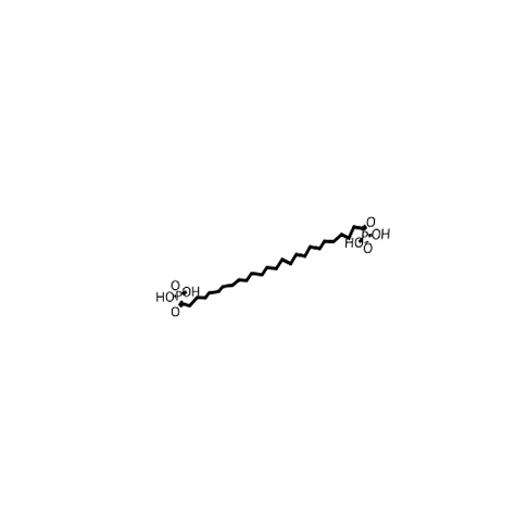 O=C(CCCCCCCCCCCCCCCCCCCCCCCCC(=O)P(=O)(O)O)P(=O)(O)O